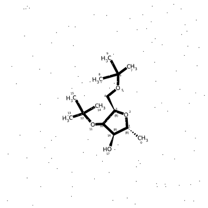 C[C@H]1O[C@H](COC(C)(C)C)C(OC(C)(C)C)[C@@H]1O